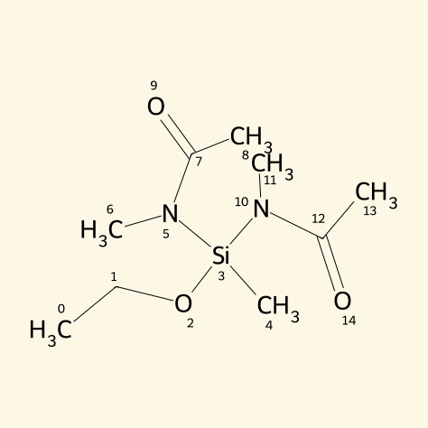 CCO[Si](C)(N(C)C(C)=O)N(C)C(C)=O